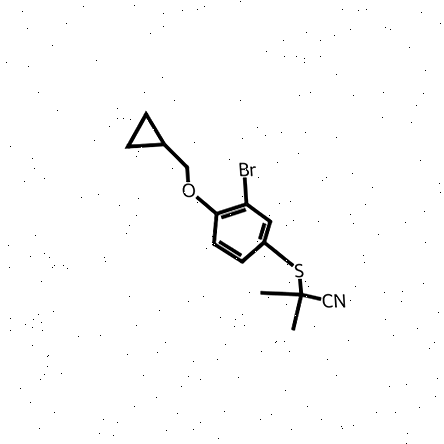 CC(C)(C#N)Sc1ccc(OCC2CC2)c(Br)c1